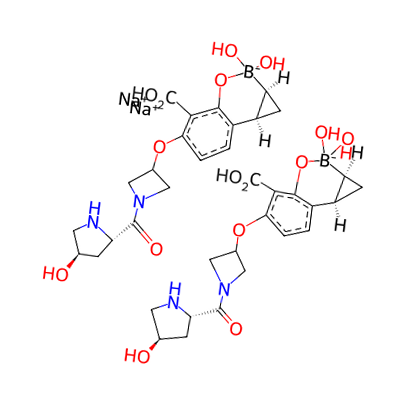 O=C(O)c1c(OC2CN(C(=O)[C@@H]3C[C@@H](O)CN3)C2)ccc2c1O[B-](O)(O)[C@H]1C[C@@H]21.O=C(O)c1c(OC2CN(C(=O)[C@@H]3C[C@@H](O)CN3)C2)ccc2c1O[B-](O)(O)[C@H]1C[C@@H]21.[Na+].[Na+]